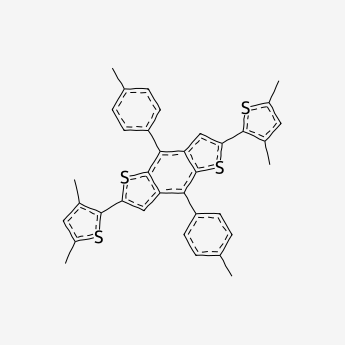 Cc1ccc(-c2c3cc(-c4sc(C)cc4C)sc3c(-c3ccc(C)cc3)c3cc(-c4sc(C)cc4C)sc23)cc1